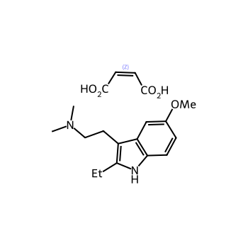 CCc1[nH]c2ccc(OC)cc2c1CCN(C)C.O=C(O)/C=C\C(=O)O